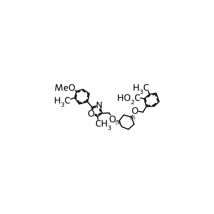 COc1ccc(-c2nc(CO[C@H]3CCC[C@@H](OCc4cccc(C)c4C(=O)O)C3)c(C)o2)cc1C